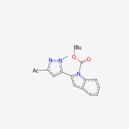 CC(=O)c1cc(-c2cc3ccccc3n2C(=O)OC(C)(C)C)n(C)n1